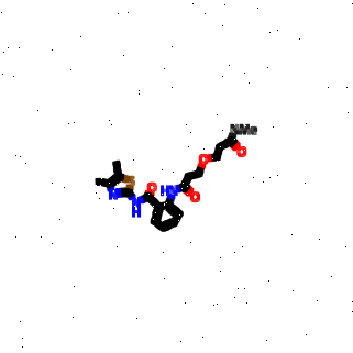 CNC(=O)CCOCCC(=O)Nc1ccccc1C(=O)Nc1nc(C)c(C)s1